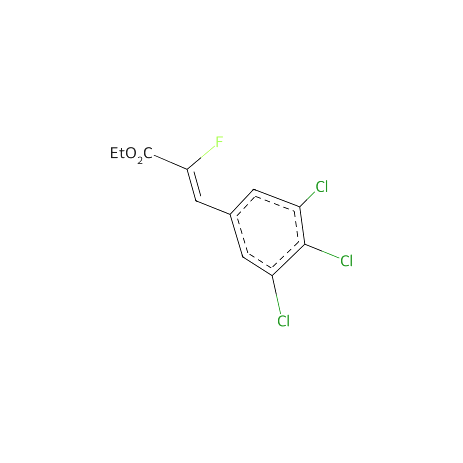 CCOC(=O)C(F)=Cc1cc(Cl)c(Cl)c(Cl)c1